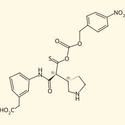 O=C(O)Cc1cccc(NC(=O)[C@@H](C(=S)OC(=O)OCc2ccc([N+](=O)[O-])cc2)[C@@H]2CCNC2)c1